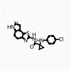 O=C(Nc1nc2ccc3[nH]ncc3c2s1)C1(Nc2ccc(Cl)cc2)CC1